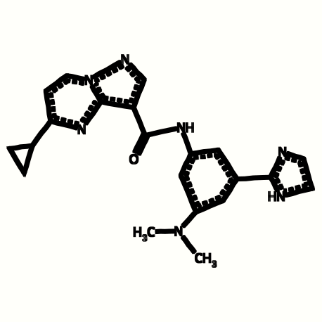 CN(C)c1cc(NC(=O)c2cnn3ccc(C4CC4)nc23)cc(-c2ncc[nH]2)c1